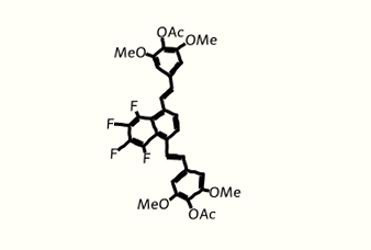 COc1cc(/C=C/c2ccc(/C=C/c3cc(OC)c(OC(C)=O)c(OC)c3)c3c(F)c(F)c(F)c(F)c23)cc(OC)c1OC(C)=O